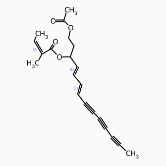 CC#CC#CC#C/C=C/C=C/C(CCOC(C)=O)OC(=O)/C(C)=C\C